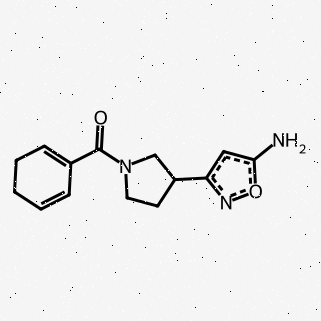 Nc1cc(C2CCN(C(=O)C3=CCCC=C3)C2)no1